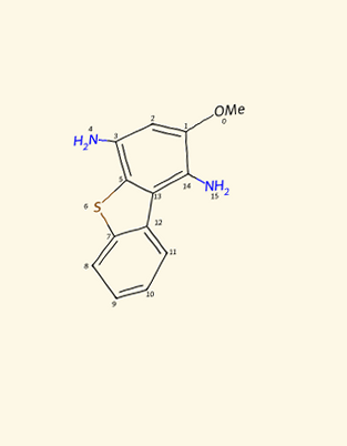 COc1cc(N)c2sc3ccccc3c2c1N